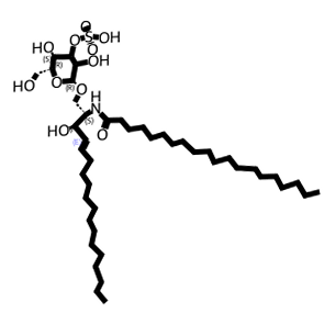 CCCCCCCCCCCCC/C=C/[C@@H](O)[C@H](CO[C@@H]1O[C@H](CO)[C@H](O)C(OS(=O)(=O)O)C1O)NC(=O)CCCCCCCCCCCCCCCCCCC